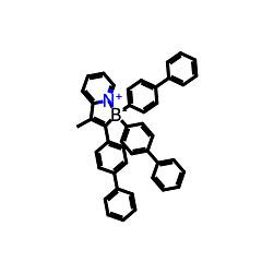 CC1=C(c2ccc(-c3ccccc3)cc2)[B-](c2ccc(-c3ccccc3)cc2)(c2ccc(-c3ccccc3)cc2)[n+]2ccccc21